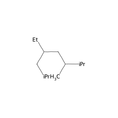 CCC(CC(C)C)CC(C)C(C)C